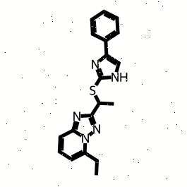 CCc1cccc2nc(C(C)Sc3nc(-c4ccccc4)c[nH]3)nn12